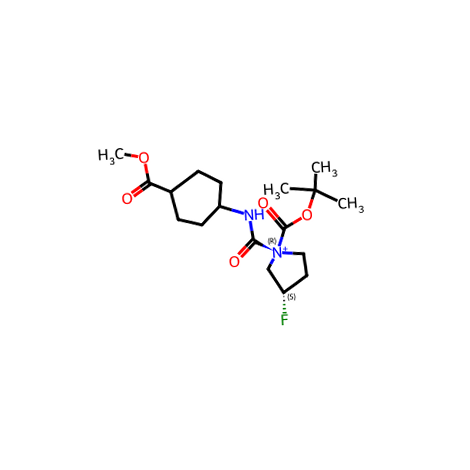 COC(=O)C1CCC(NC(=O)[N@@+]2(C(=O)OC(C)(C)C)CC[C@H](F)C2)CC1